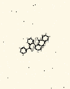 O=C(c1ccccc1)c1ccccc1-c1cccc2oc3ccccc3c(=O)c12